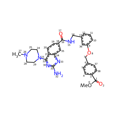 COC(=O)c1ccc(COc2cccc(CNC(=O)c3ccc4c(N5CCN(C)CC5)nc(N)nc4c3)c2)cc1